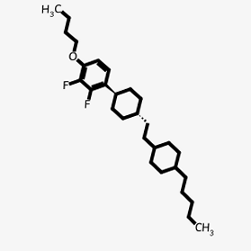 CCCCCC1CCC(CC[C@H]2CC[C@H](c3ccc(OCCCC)c(F)c3F)CC2)CC1